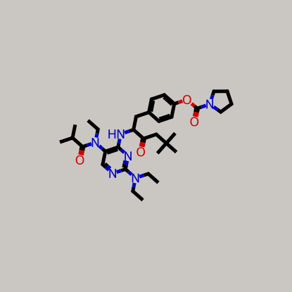 CCN(CC)c1ncc(N(CC)C(=O)C(C)C)c(NC(Cc2ccc(OC(=O)N3CCCC3)cc2)C(=O)CC(C)(C)C)n1